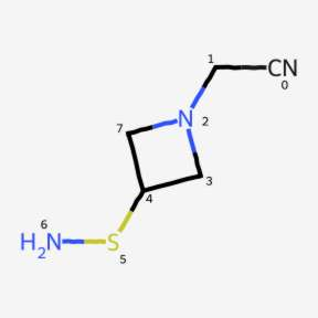 N#CCN1CC(SN)C1